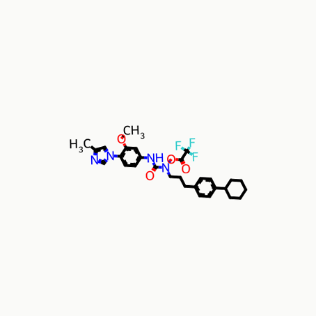 COc1cc(NC(=O)N(CCCc2ccc(C3CCCCC3)cc2)OC(=O)C(F)(F)F)ccc1-n1cnc(C)c1